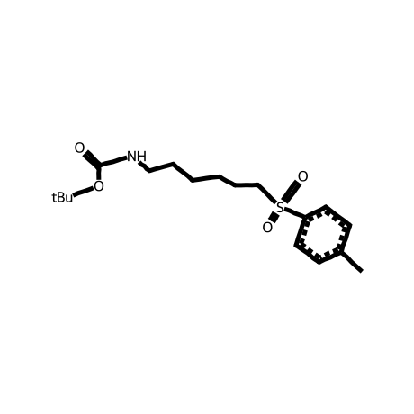 Cc1ccc(S(=O)(=O)CCCCCCNC(=O)OC(C)(C)C)cc1